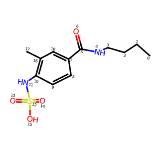 CCCCNC(=O)c1ccc(NS(=O)(=O)O)c(C)c1